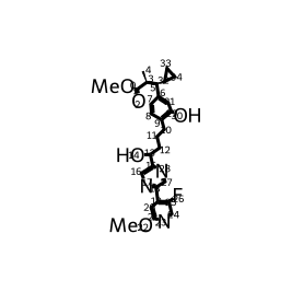 COC(=O)[C@@H](C)[C@H](c1ccc(CCCC(O)c2cnc(-c3cc(OC)ncc3F)cn2)c(O)c1)C1CC1